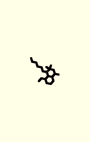 CCCCCCN1C2C(CC)CCCC2C(C)CC1(C)C